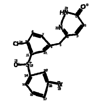 O=c1ccc(Cc2ccc(Cl)c([S+]([O-])c3cccc(Br)c3)c2)n[nH]1